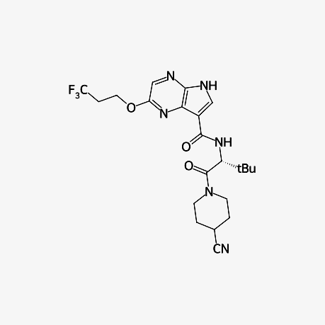 CC(C)(C)[C@@H](NC(=O)c1c[nH]c2ncc(OCCC(F)(F)F)nc12)C(=O)N1CCC(C#N)CC1